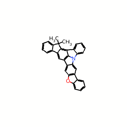 CC1(C)c2ccccc2-c2cc3c4cc5oc6ccccc6c5cc4n4c5ccccc5c(c21)c34